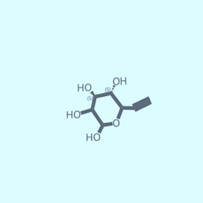 C#CC1OC(O)C(O)[C@@H](O)[C@@H]1O